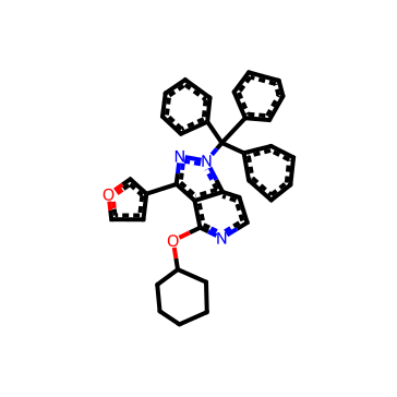 c1ccc(C(c2ccccc2)(c2ccccc2)n2nc(-c3ccoc3)c3c(OC4CCCCC4)nccc32)cc1